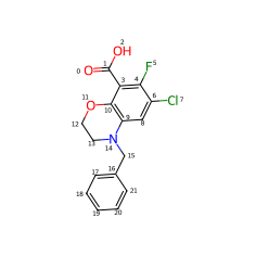 O=C(O)c1c(F)c(Cl)cc2c1OCCN2Cc1ccccc1